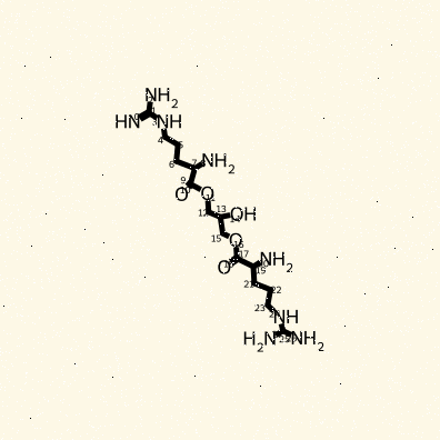 N=C(N)NCCCC(N)C(=O)OCC(O)COC(=O)C(N)CCCNC(N)N